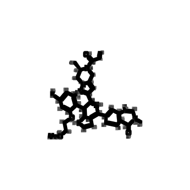 C=CC(=O)N1Cc2cc(-c3nc(-c4ccc5c(=O)n(C)cnc5c4)c4ccsc4c3-c3c(F)cc(F)cc3OCCOC)nn2C[C@H]1C